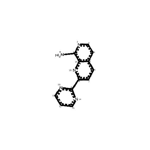 Nc1nccc2ccc(-c3ncccn3)nc12